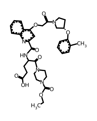 CCOC(=O)N1CCN(C(=O)C(CCC(=O)O)NC(=O)c2cc(OCC(=O)N3CC[C@H](Oc4ccccc4C)C3)c3ccccc3n2)CC1